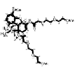 COCCOCCOCC(=O)OC1=CCC2(OC(=O)COCCOCCOC)[C@@H](C)N(C)CC[C@@]23c2c(C)ccc(OC)c2O[C@@H]13